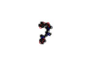 c1ccc(-n2c3ccc(-c4ccc5c(c4)c4ccccc4n5-c4cc5ccc6oc7cccc8c7c6c5c5c4oc4cccc-8c45)cc3c3ccc(-c4ccc5c(c4)c4cccc(-c6cccc7oc8ccc(-c9cc%10ccc%11oc%12cccc%13c%12c%11c%10c%10c9oc9cccc-%13c9%10)cc8c67)c4n5-c4ccccc4)cc32)cc1